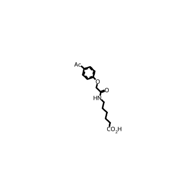 CC(=O)c1ccc(OCC(=O)NCCCCCC(=O)O)cc1